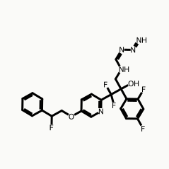 N=N/N=C\NCC(O)(c1ccc(F)cc1F)C(F)(F)c1ccc(OCC(F)c2ccccc2)cn1